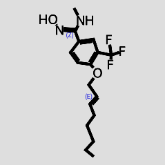 CCCCC/C=C/COc1ccc(/C(=N/O)NC)cc1C(F)(F)F